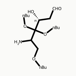 CCCCOCC(N)C(OCCCC)(OCCCC)[C@H](O)CC=O